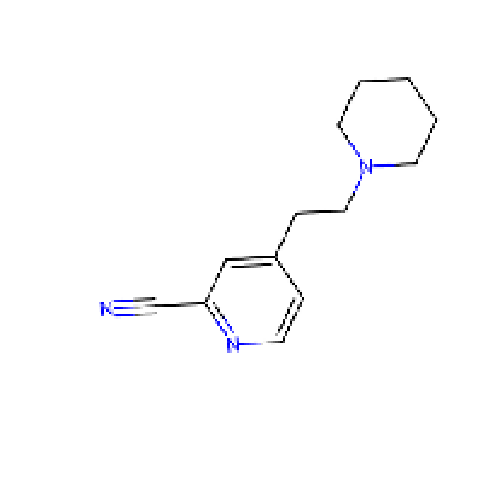 N#Cc1cc(CCN2CCCCC2)ccn1